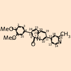 COc1ccc(C2=C\C(=O)N3C=C(c4ccnc(C)c4)C=C\C3=C/C=C/2)cc1OC